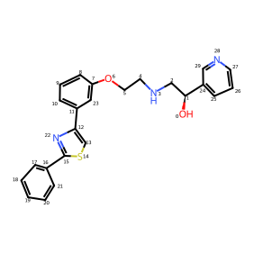 O[C@@H](CNCCOc1cccc(-c2csc(-c3ccccc3)n2)c1)c1cccnc1